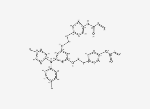 C=CC(=O)Oc1ccc(CCOc2cc(OCCc3ccc(OC(=O)C=C)cc3)cc(N(c3ccc(C)cc3)c3ccc(C)cc3)c2)cc1